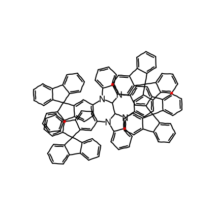 c1ccc2c(c1)-c1ccccc1C21c2ccccc2-c2ccc(N3c4ccccc4N(c4ccc5c(c4)C4(c6ccccc6-c6ccccc64)c4ccccc4-5)C3C3N(c4ccc5c(c4)C4(c6ccccc6-c6ccccc64)c4ccccc4-5)c4ccccc4N3c3ccc4c(c3)C3(c5ccccc5-c5ccccc53)c3ccccc3-4)cc21